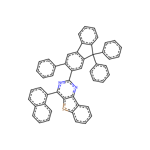 c1ccc(-c2cc3c(cc2-c2nc(-c4cccc5ccccc45)c4sc5ccccc5c4n2)C(c2ccccc2)(c2ccccc2)c2ccccc2-3)cc1